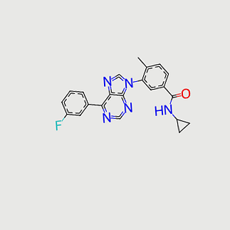 Cc1ccc(C(=O)NC2CC2)cc1-n1cnc2c(-c3cccc(F)c3)ncnc21